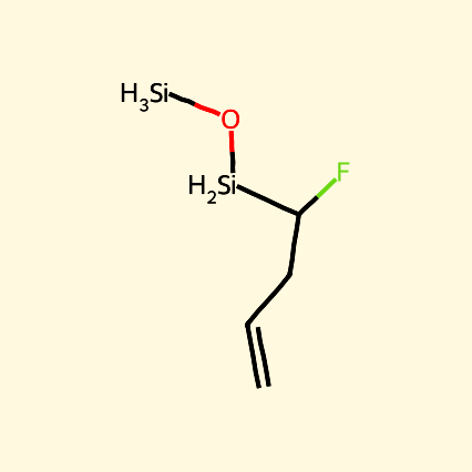 C=CCC(F)[SiH2]O[SiH3]